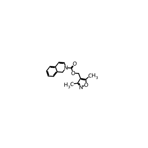 Cc1noc(C)c1COC(=O)N1C=Cc2ccccc2C1